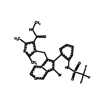 CNC(=O)c1c(C)nc(C)n1Cc1c2ccocc-2c(Br)c1-c1ccccc1NS(=O)(=O)C(F)(F)F